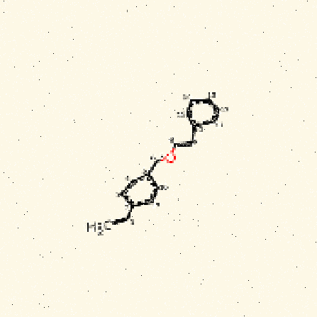 C=Cc1ccc(COC=Cc2ccccc2)cc1